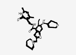 CCc1c(NC2CCOCC2)cc2oc(CN3CCCCC3)cc2c1C(=O)NCc1c(C)cc(C)[nH]c1=O